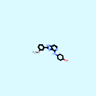 OC1CCC(Nc2nccc3[nH]c(-c4cccc(OC(F)(F)F)c4)nc23)CC1